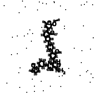 CC/C=C(\CC(=O)OCC)c1ccc2c(c1OC)CC(N1CCN(c3ccc(Nc4nc(N5CCCC(N6CCN(C)C6=O)C5)cnc4C(N)=O)cc3OC)CC1)C2